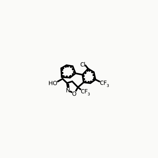 OCC1=NOC(c2cc(C(F)(F)F)cc(Cl)c2-c2ccccc2)(C(F)(F)F)C1